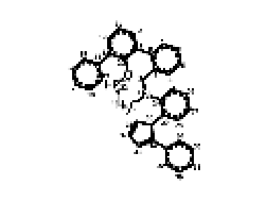 CN(Cc1ccccc1-c1cccc(-c2ccccc2)c1OPI)c1ccccc1C1C=CC=C1c1ccccc1